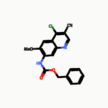 COc1cc2c(Cl)c(C#N)cnc2cc1NC(=O)OCc1ccccc1